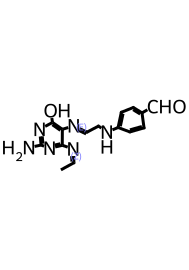 C/C=N\c1nc(N)nc(O)c1/N=C/CNc1ccc(C=O)cc1